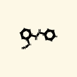 CCCSc1ccccc1NNc1ccccc1